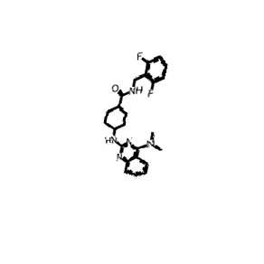 CN(C)c1nc(NC2CCC(C(=O)NCc3c(F)cccc3F)CC2)nc2ccccc12